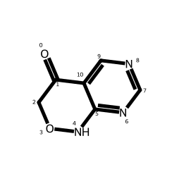 O=C1CONc2ncncc21